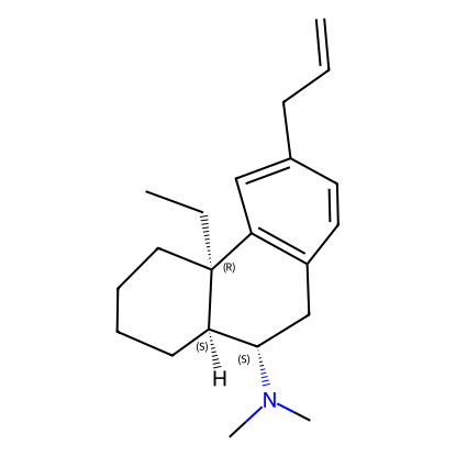 C=CCc1ccc2c(c1)[C@]1(CC)CCCC[C@@H]1[C@@H](N(C)C)C2